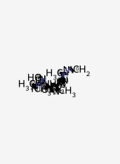 C=C/C=N\C=C(/C)c1cn(-c2cc(C(=O)NC(/C=C(\I)C(C)(C)I)=N/O)cnc2C)nn1